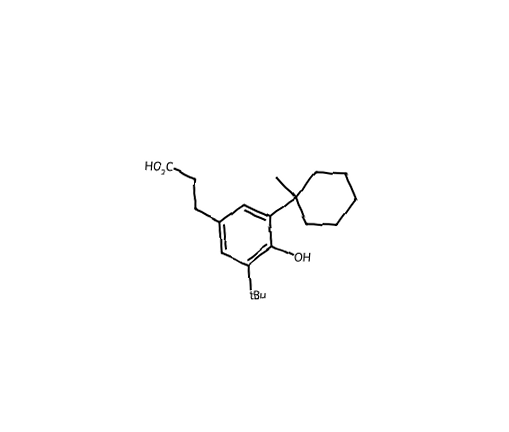 CC(C)(C)c1cc(CCC(=O)O)cc(C2(C)CCCCC2)c1O